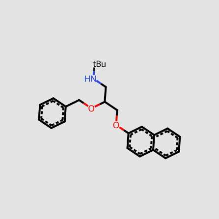 CC(C)(C)NCC(COc1ccc2ccccc2c1)OCc1ccccc1